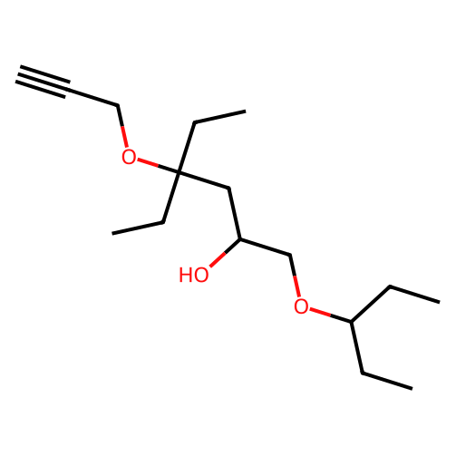 C#CCOC(CC)(CC)CC(O)COC(CC)CC